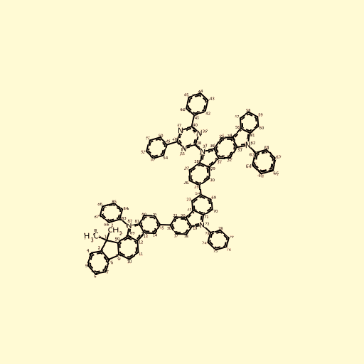 CC1(C)c2ccccc2-c2ccc3c4cc(-c5ccc6c(c5)c5cc(-c7ccc8c(c7)c7cc9c(cc7n8-c7nc(-c8ccccc8)nc(-c8ccccc8)n7)c7ccccc7n9-c7ccccc7)ccc5n6-c5ccccc5)ccc4n(-c4ccccc4)c3c21